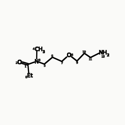 CCC(=O)N(C)CCCOCCCN